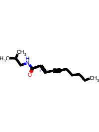 CCCCCC#C/C=C/C(=O)NCC(C)C